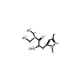 Cc1cc(CC(C=O)C(=O)N(CC(C)C)CC(C)C)n(C)n1